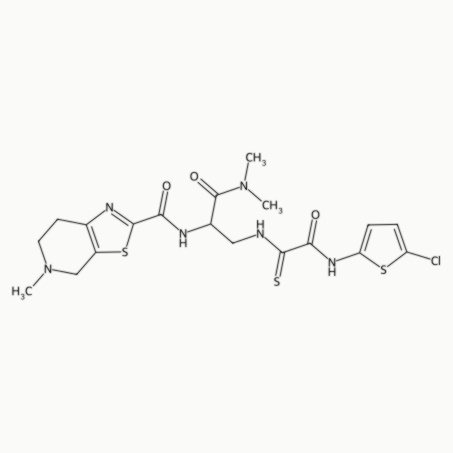 CN1CCc2nc(C(=O)NC(CNC(=S)C(=O)Nc3ccc(Cl)s3)C(=O)N(C)C)sc2C1